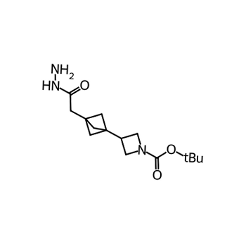 CC(C)(C)OC(=O)N1CC(C23CC(CC(=O)NN)(C2)C3)C1